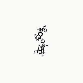 C=CC(=O)Nc1ccc2c(N3CCC(Nc4ncc(Cl)c(C(F)(F)F)n4)C3)ncnc2c1